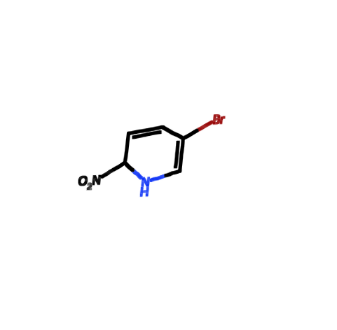 O=[N+]([O-])C1C=CC(Br)=CN1